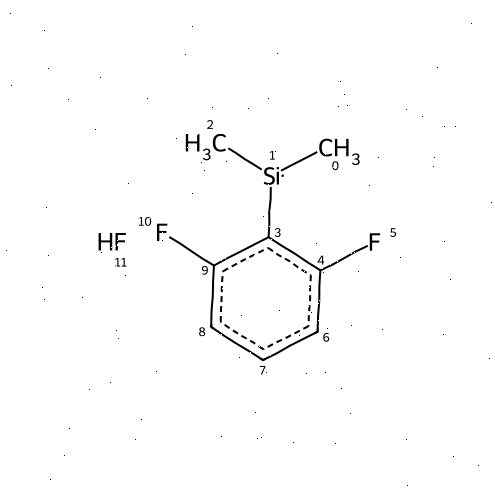 C[Si](C)c1c(F)cccc1F.F